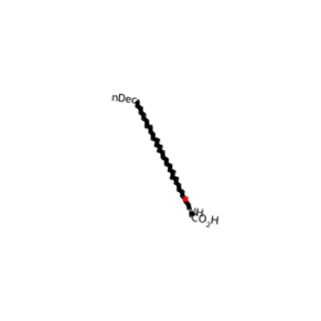 CCCCCCCCCCCCCCCCCCCCCCCCCCCCCCCCCCCCCCCCCCCCNCC(=O)O